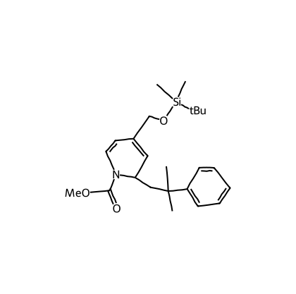 COC(=O)N1C=CC(CO[Si](C)(C)C(C)(C)C)=CC1CC(C)(C)c1ccccc1